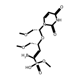 B/C(=C\[C@H](COC)O[C@H](COC)n1ccc(=O)[nH]c1=O)P(=O)(O)OC